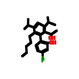 CCCCCc1c(C(C)C)cc(C(C)C)c(C(C)O)c1-c1ccc(F)cc1O